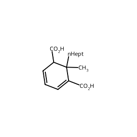 CCCCCCCC1(C)C(C(=O)O)=CC=CC1C(=O)O